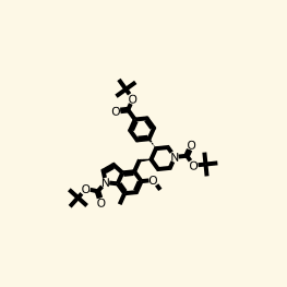 COc1cc(C)c2c(ccn2C(=O)OC(C)(C)C)c1C[C@@H]1CCN(C(=O)OC(C)(C)C)C[C@H]1c1ccc(C(=O)OC(C)(C)C)cc1